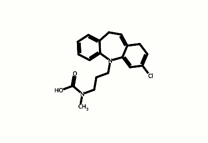 CN(CCCN1C2=CC(Cl)=CCC2=CCc2ccccc21)C(=O)O